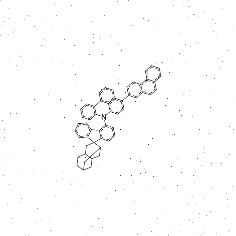 c1ccc(-c2ccccc2N(c2ccc(-c3ccc4c(ccc5ccccc54)c3)cc2)c2cccc3c2-c2ccccc2C32CC3CCC4CC3CC2C4)cc1